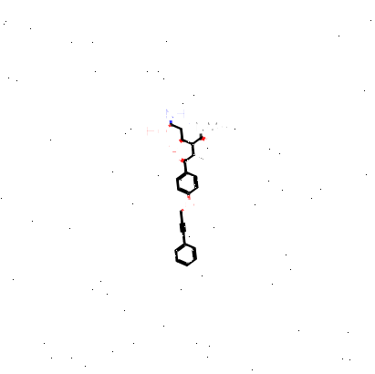 CNC(=O)C(C(=O)CC(N)O)[C@@H](C)C(=O)c1ccc(OCC#Cc2ccccc2)cc1